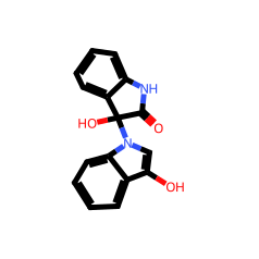 O=C1Nc2ccccc2C1(O)n1cc(O)c2ccccc21